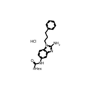 CCCCCCC(=O)Nc1ccc2c(c1)nc(N)n2CCCc1ccccc1.Cl